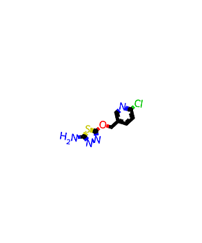 Nc1nnc(OCc2ccc(Cl)nc2)s1